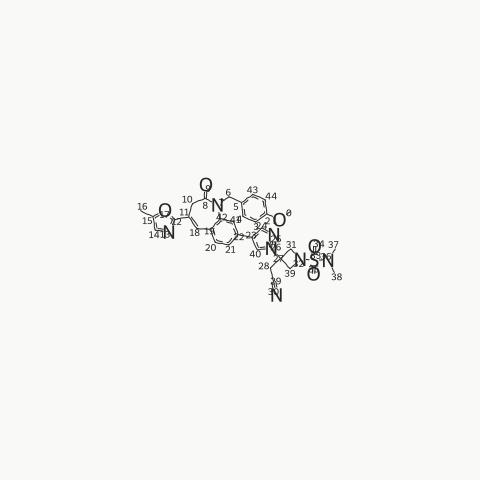 COc1ccc(CN2C(=O)CC(c3ncc(C)o3)=Cc3ccc(-c4cnn(C5(CC#N)CN(S(=O)(=O)N(C)C)C5)c4)cc32)cc1